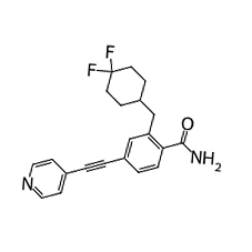 NC(=O)c1ccc(C#Cc2ccncc2)cc1CC1CCC(F)(F)CC1